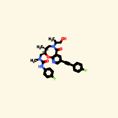 CC(CO)N1C[C@@H](C)[C@H](CN(C)C(=O)Nc2ccc(F)cc2)Oc2ncc(C#Cc3ccc(F)cc3)cc2C1=O